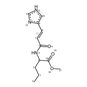 CCCC(NC(=O)/C=C/c1c[nH]cn1)C(=O)OC